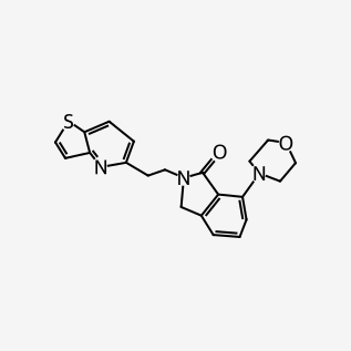 O=C1c2c(cccc2N2CCOCC2)CN1CCc1ccc2sccc2n1